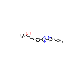 C=CCc1ccc(-c2ncc(-c3ccc(C=CCCCC(C)O)cc3)cn2)nc1